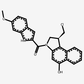 COc1ccc2cc(C(=O)N3C[C@@H](CCl)c4c3cc(O)c3ccccc43)[nH]c2c1